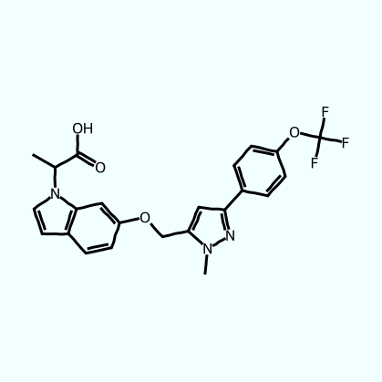 CC(C(=O)O)n1ccc2ccc(OCc3cc(-c4ccc(OC(F)(F)F)cc4)nn3C)cc21